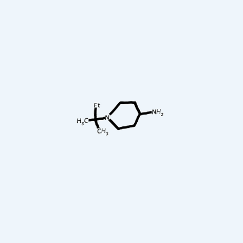 CCC(C)(C)N1CCC(N)CC1